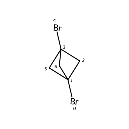 BrC12CC(Br)(C1)C2